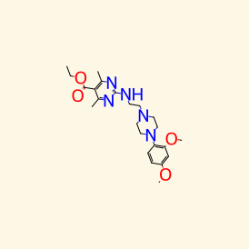 CCOC(=O)c1c(C)nc(NCCN2CCN(c3ccc(OC)cc3OC)CC2)nc1C